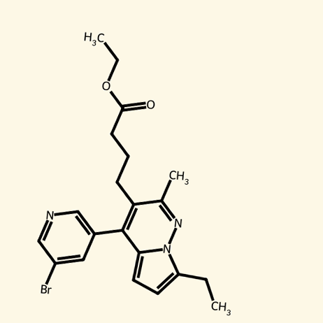 CCOC(=O)CCCc1c(C)nn2c(CC)ccc2c1-c1cncc(Br)c1